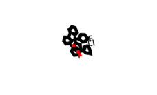 Fc1ccc(C2(c3ccc(F)cc3)c3ccccc3-c3cccc(-c4cccc(-c5cccc(Cl)c5)c4)c32)cc1